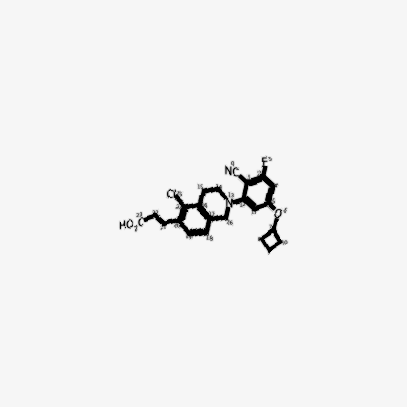 N#Cc1c(F)cc(OC2CCC2)cc1N1CCc2c(ccc(CCC(=O)O)c2Cl)C1